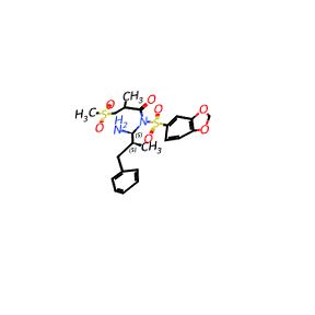 CC(CS(C)(=O)=O)C(=O)N([C@H](N)[C@@H](C)Cc1ccccc1)S(=O)(=O)c1ccc2c(c1)OCO2